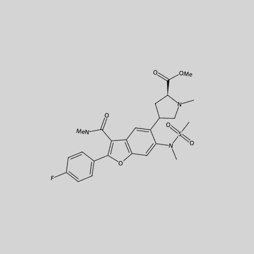 CNC(=O)c1c(-c2ccc(F)cc2)oc2cc(N(C)S(C)(=O)=O)c(C3C[C@@H](C(=O)OC)N(C)C3)cc12